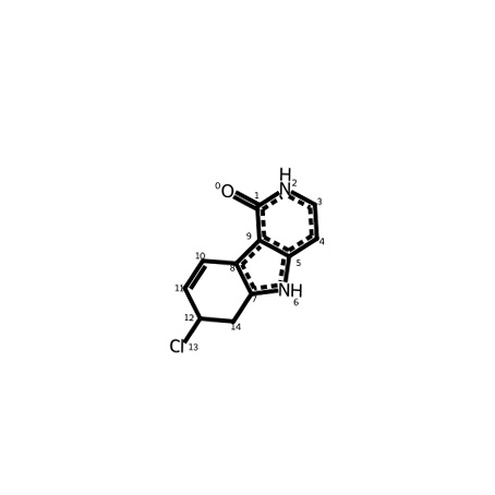 O=c1[nH]ccc2[nH]c3c(c12)C=CC(Cl)C3